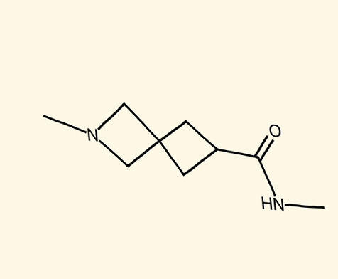 CNC(=O)C1CC2(C1)CN(C)C2